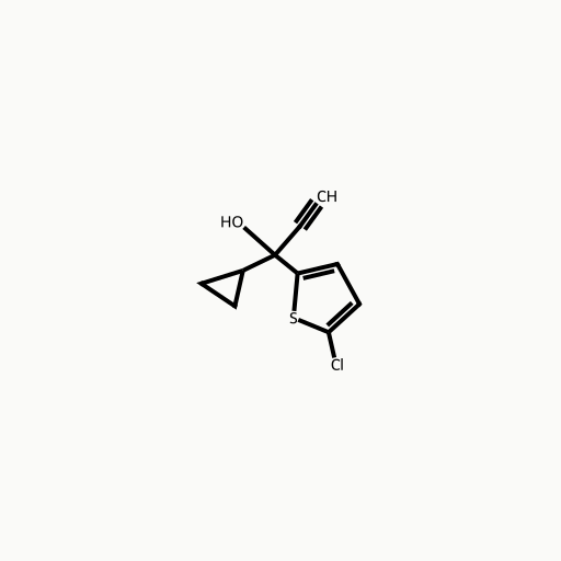 C#CC(O)(c1ccc(Cl)s1)C1CC1